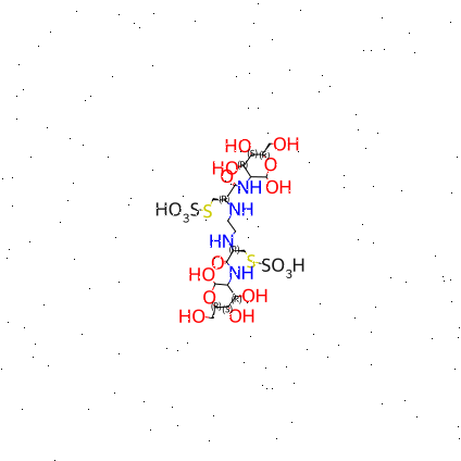 O=C(NC1C(O)O[C@H](CO)[C@@H](O)[C@@H]1O)[C@H](CSS(=O)(=O)O)NCCN[C@@H](CSS(=O)(=O)O)C(=O)NC1C(O)O[C@H](CO)[C@@H](O)[C@@H]1O